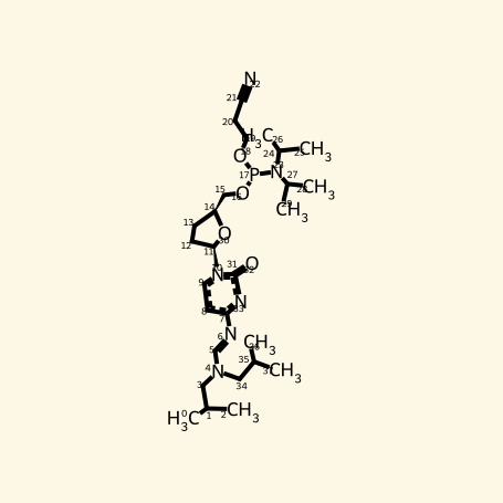 CC(C)CN(C=Nc1ccn([C@H]2CC[C@@H](COP(OCCC#N)N(C(C)C)C(C)C)O2)c(=O)n1)CC(C)C